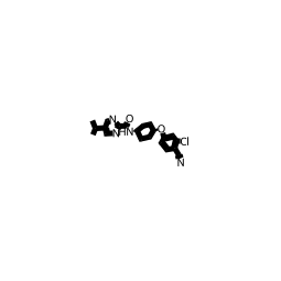 CC(C)c1cnc(C(=O)N[C@H]2CC[C@H](Oc3ccc(C#N)c(Cl)c3)CC2)nc1